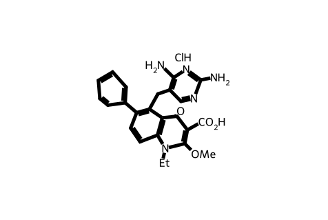 CCn1c(OC)c(C(=O)O)c(=O)c2c(Cc3cnc(N)nc3N)c(-c3ccccc3)ccc21.Cl